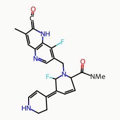 CNC(=O)C1C=CC(=C2C=CNCC2)C(F)N1Cc1cnc2c(c1F)NC(=C=O)C(C)=C2